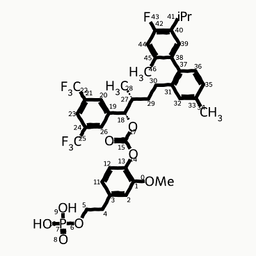 COc1cc(CCOP(=O)(O)O)ccc1OC(=O)O[C@H](c1cc(C(F)(F)F)cc(C(F)(F)F)c1)[C@H](C)CCc1cc(C)ccc1-c1cc(C(C)C)c(F)cc1C